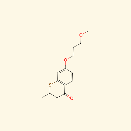 COCCCOc1ccc2c(c1)SC(C)CC2=O